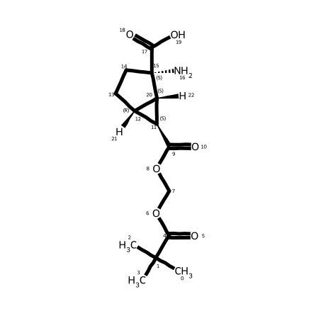 CC(C)(C)C(=O)OCOC(=O)[C@H]1[C@@H]2CC[C@@](N)(C(=O)O)[C@@H]21